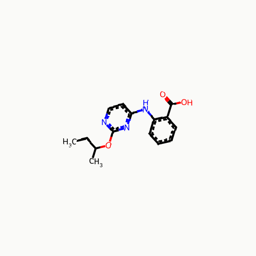 CCC(C)Oc1nccc(Nc2ccccc2C(=O)O)n1